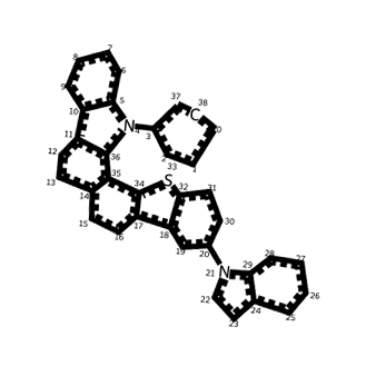 c1ccc(-n2c3ccccc3c3ccc4ccc5c6cc(-n7ccc8ccccc87)ccc6sc5c4c32)cc1